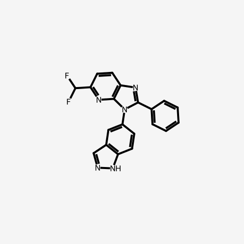 FC(F)c1ccc2nc(-c3ccccc3)n(-c3ccc4[nH]ncc4c3)c2n1